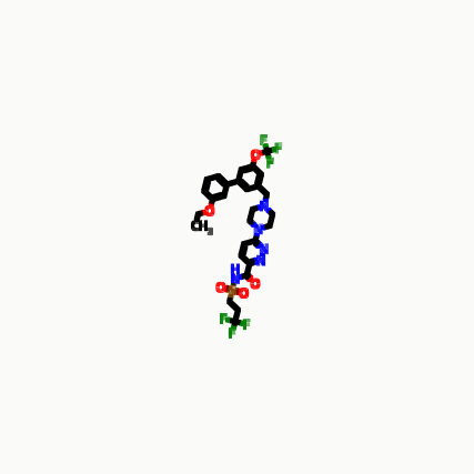 CCOc1cccc(-c2cc(CN3CCN(c4ccc(C(=O)NS(=O)(=O)CCC(F)(F)F)nn4)CC3)cc(OC(F)(F)F)c2)c1